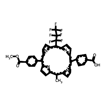 COC(=O)c1ccc(-c2c3nc(c(C)c4ccc([nH]4)c(-c4ccc(C(=O)O)cc4)c4nc(c(C(F)(F)C(F)(F)C(F)(F)F)c5ccc2[nH]5)C=C4)C=C3)cc1